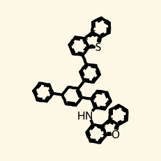 C1=CC(c2ccccc2)CC(c2cccc(-c3cccc4c3sc3ccccc34)c2)=C1c1ccccc1Nc1cccc2oc3ccccc3c12